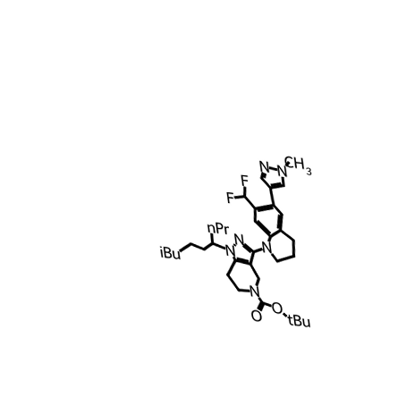 CCCC(CCC(C)CC)n1nc(N2CCCc3cc(-c4cnn(C)c4)c(C(F)F)cc32)c2c1CCN(C(=O)OC(C)(C)C)C2